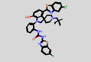 CC(C)(C)CN1CCC2(CC1)CN(c1ccccc1NC(=O)Nc1nc3ccc(F)cc3s1)c1c(O)ccc(-c3nc4cc(Cl)ccc4s3)c12